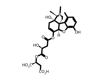 Cc1ccc(O)c2c1[C@]13CCN(C)[C@H](C)[C@]1(O)CC=C(OC(=O)C[C@H](O)C(=O)O[C@@H](CC(=O)O)C(=O)O)[C@@H]3O2